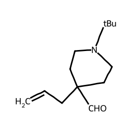 C=CCC1(C=O)CCN(C(C)(C)C)CC1